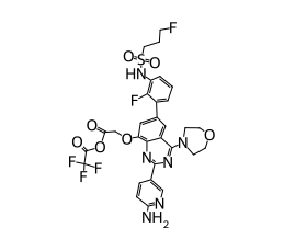 Nc1ccc(-c2nc(N3CCOCC3)c3cc(-c4cccc(NS(=O)(=O)CCCF)c4F)cc(OCC(=O)OC(=O)C(F)(F)F)c3n2)cn1